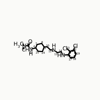 CN(C)C(=O)NC1CCC(CCNCCNc2cccc(Cl)c2Cl)CC1